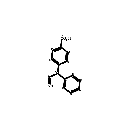 CCOC(=O)c1ccc(N(C=N)c2ccccc2)cc1